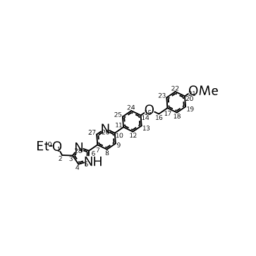 CCOCc1c[nH]c(-c2ccc(-c3ccc(OCc4ccc(OC)cc4)cc3)nc2)n1